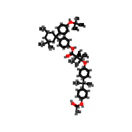 CCC(C)(C)Oc1ccc(C2(c3ccc(OC(=O)C(C)(C)[C@@](C)(CC)Oc4ccc(C(C)(C)c5ccc(OC(=O)C(C)(C)C)cc5)cc4)cc3)CC(C)CC(C)(C)C2)cc1